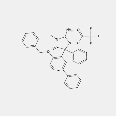 CN1C(=O)C(c2ccccc2)(c2cc(-c3ccccc3)ccc2OCc2ccccc2)N(OC(=O)C(F)(F)F)C1N